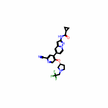 N#Cc1cc(-c2ccn3nc(NC(=O)C4CC4)cc3c2)c(O[C@@H]2CCN(CC(F)(F)F)C2)cn1